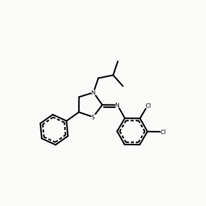 CC(C)CN1CC(c2ccccc2)SC1=Nc1cccc(Cl)c1Cl